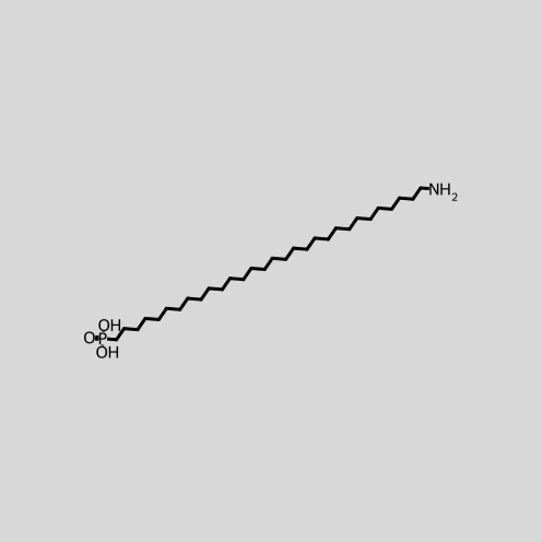 NCCCCCCCCCCCCCCCCCCCCCCCCCCCCCCP(=O)(O)O